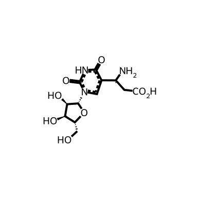 N[C](CC(=O)O)c1cn([C@@H]2O[C@H](CO)[C@@H](O)[C@H]2O)c(=O)[nH]c1=O